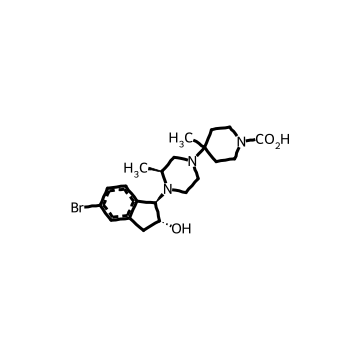 C[C@H]1CN(C2(C)CCN(C(=O)O)CC2)CCN1[C@@H]1c2ccc(Br)cc2C[C@H]1O